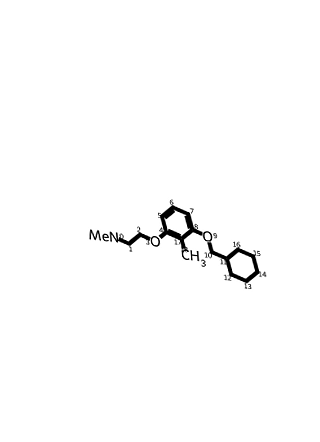 CNCCOc1cccc(OCC2CCCCC2)c1C